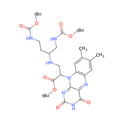 Cc1cc2nc3c(=O)[nH]c(=O)nc-3n(C(CNC(CCNC(=O)OC(C)(C)C)CNC(=O)OC(C)(C)C)C(=O)OC(C)(C)C)c2cc1C